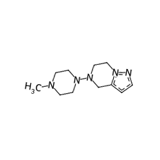 CN1CCN(N2CCn3nccc3C2)CC1